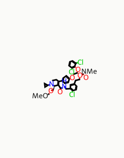 CNC(=O)OCCc1ccc(Cl)c(CNC(=O)C2=C(c3ccc(OCCOc4c(Cl)cccc4Cl)cc3)CCN(C3CC3)[C@@H]2COCOC)c1